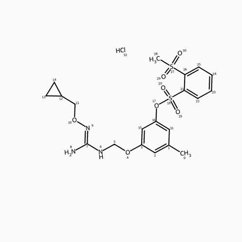 Cc1cc(OCNC(N)=NOCC2CC2)cc(OS(=O)(=O)c2ccccc2S(C)(=O)=O)c1.Cl